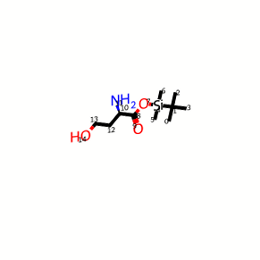 CC(C)(C)[Si](C)(C)OC(=O)[C@H](N)CCO